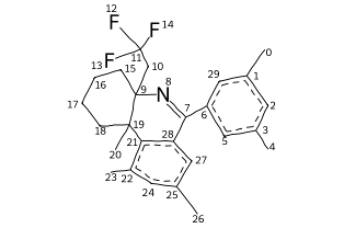 Cc1cc(C)cc(C2=NC3(CC(F)(F)F)CCCCC3(C)c3c(C)cc(C)cc32)c1